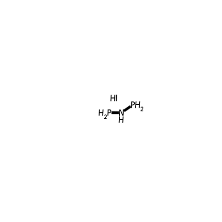 I.PNP